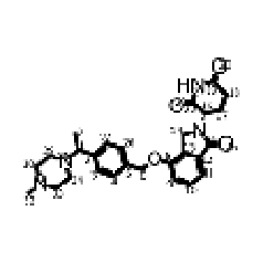 CC(c1ccc(COc2cccc3c2CN([C@H]2CCC(=O)NC2=O)C3=O)cc1)N1CCN(C)CC1